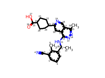 Cc1c(C#N)cccc1[C@@H](C)Nc1nnc(C)c2cnc(C3CCC(C(=O)O)CC3)cc12